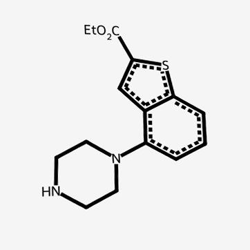 CCOC(=O)c1cc2c(N3CCNCC3)cccc2s1